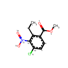 CCc1c(C(=O)OC)ccc(Cl)c1[N+](=O)[O-]